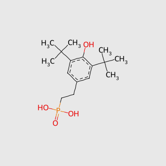 CC(C)(C)c1cc(CCP(=O)(O)O)cc(C(C)(C)C)c1O